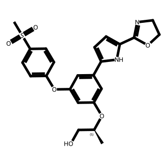 C[C@@H](CO)Oc1cc(Oc2ccc(S(C)(=O)=O)cc2)cc(-c2ccc(C3=NCCO3)[nH]2)c1